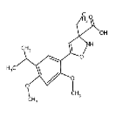 CCC1(C(=O)O)C=C(c2cc(C(C)C)c(OC)cc2OC)ON1